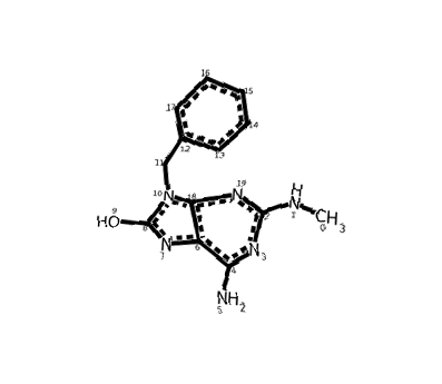 CNc1nc(N)c2nc(O)n(Cc3ccccc3)c2n1